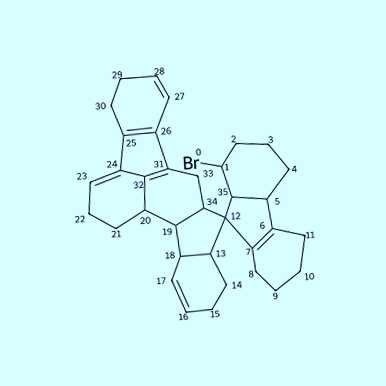 BrC1CCCC2C3=C(CCCC3)C3(C4CCC=CC4C4C5CCC=C6C7=C(C=CCC7)C(=C65)CC43)C12